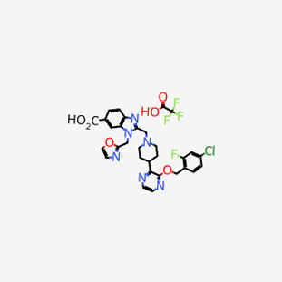 O=C(O)C(F)(F)F.O=C(O)c1ccc2nc(CN3CCC(c4nccnc4OCc4ccc(Cl)cc4F)CC3)n(Cc3ncco3)c2c1